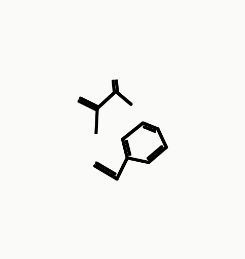 C=C(C)C(=C)C.C=Cc1ccccc1